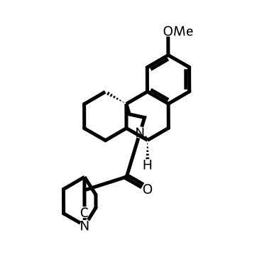 COc1ccc2c(c1)[C@]13CCCCC1[C@H](C2)N(C(=O)C1CN2CCC1CC2)CC3